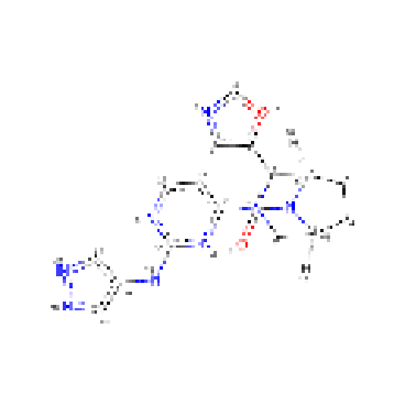 O=CN1[C@H]2CC[C@@H]1C(c1cnco1)N(c1ccnc(Nc3cn[nH]c3)n1)C2